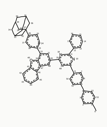 Cc1ccc(-c2ccc(-c3nc(-c4ccccc4)nc(-c4cc(-c5ccc(C67CC8CC(CC(C8)C6)C7)cc5)c5oc6ccccc6c5c4)n3)cc2)cc1